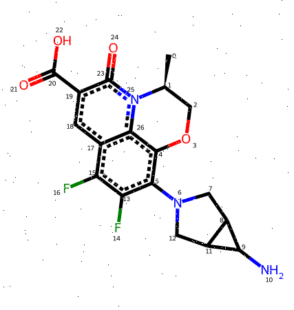 C[C@H]1COc2c(N3CC4C(N)C4C3)c(F)c(F)c3cc(C(=O)O)c(=O)n1c23